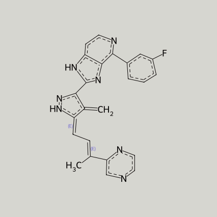 C=c1c(-c2nc3c(-c4cccc(F)c4)nccc3[nH]2)n[nH]/c1=C/C=C(\C)c1cnccn1